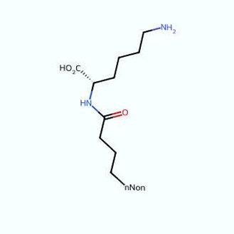 CCCCCCCCCCCCC(=O)N[C@@H](CCCCN)C(=O)O